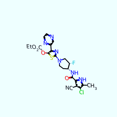 CCOC(=O)Oc1sc(N2CC[C@@H](NC(=O)c3[nH]c(C)c(Cl)c3C#N)[C@@H](F)C2)nc1-c1cnccn1